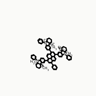 CSC12CCCCC1(C)N(c1ccccc1)c1ccc(-c3cc(-c4ccccc4)c4ccc5c(-c6ccc7c(c6)C6(SC)CCCCC6(C)N7c6ccccc6)cc(-c6ccc7c(c6)C6(SC)CCCCC6(C)N7c6ccccc6)c6ccc3c4c56)cc12